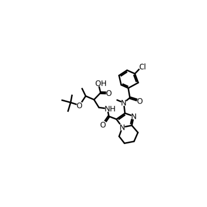 CC(OC(C)(C)C)C(CNC(=O)c1c(N(C)C(=O)c2cccc(Cl)c2)nc2n1CCCC2)C(=O)O